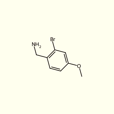 COc1ccc(CN)c(Br)c1